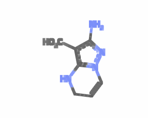 Nc1nn2c(c1C(=O)O)NCC=C2